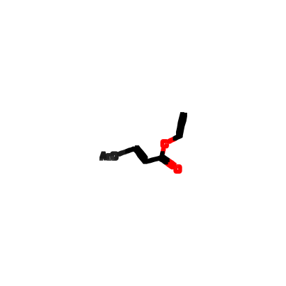 C=COC(=O)C=COC(C)=O